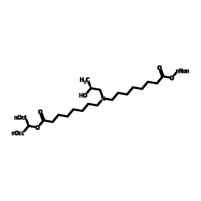 CCCCCCCCCOC(=O)CCCCCCCN(CCCCCCCC(=O)OC(CCCCCCCC)CCCCCCCC)C[C@H](C)O